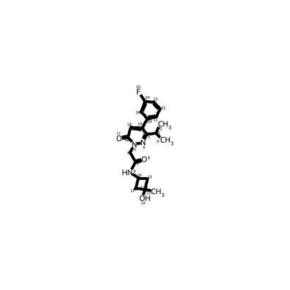 CC(C)c1nn(CC(=O)NC2CC(C)(O)C2)c(=O)cc1-c1cccc(F)c1